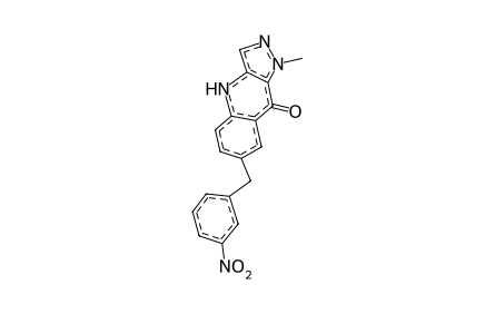 Cn1ncc2[nH]c3ccc(Cc4cccc([N+](=O)[O-])c4)cc3c(=O)c21